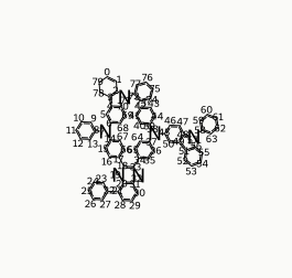 C1=Cc2c(c3cc(N(c4ccccc4)c4ccc(-c5nc6c(-c7ccccc7)cccc6nc5-c5ccc(N(c6ccccc6)c6ccc7c(c6)c6ccccc6n7-c6ccccc6)cc5)cc4)ccc3n2-c2ccccc2)CC1